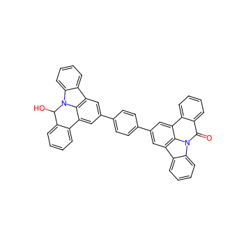 O=c1c2ccccc2c2cc(-c3ccc(-c4cc5c6c(c4)c4ccccc4n6C(O)c4ccccc4-5)cc3)cc3c4ccccc4n1c23